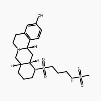 CS(=O)(=O)NCCCS(=O)(=O)N1CCC[C@@H]2CN3CCc4cc(O)ccc4[C@@H]3C[C@@H]21